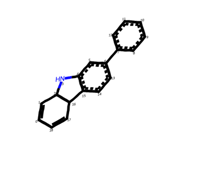 C1=CC2Nc3cc(-c4ccccc4)ccc3C2C=C1